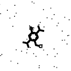 CC(C)c1cc(CCl)c(C(C)C)cc1Br